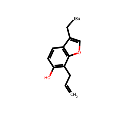 C=CCc1c(O)ccc2c(CC(C)(C)C)coc12